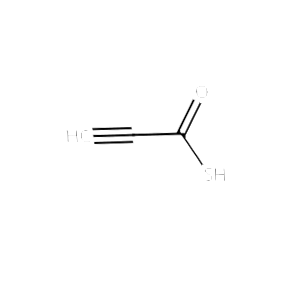 C#CC(=O)S